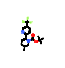 CC1CC=C(c2ccc(C(F)(F)F)cn2)N(C(=O)OC(C)(C)C)C1